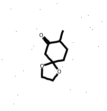 CC1CCC2(CC1=O)OCCO2